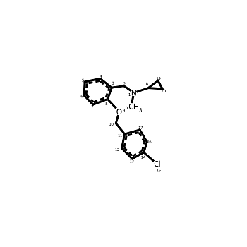 CN(Cc1ccccc1OCc1ccc(Cl)cc1)C1CC1